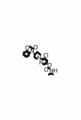 CC(C)NC(=O)Oc1cnc(N2CCC(N3C(=O)COc4ccccc43)CC2)c(Cl)c1